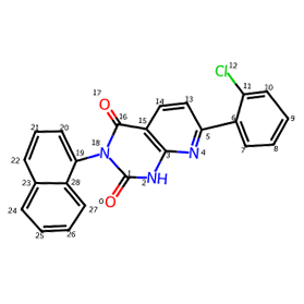 O=c1[nH]c2nc(-c3ccccc3Cl)ccc2c(=O)n1-c1cccc2ccccc12